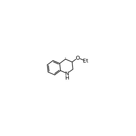 CCOC1[CH]c2ccccc2NC1